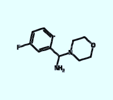 NC(c1[c]ccc(F)c1)N1CCOCC1